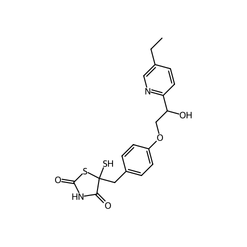 CCc1ccc(C(O)COc2ccc(CC3(S)SC(=O)NC3=O)cc2)nc1